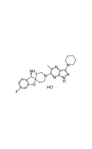 Cc1nc2c(N3CCCCC3)n[nH]c2nc1N1CCC2(CC1)Oc1cc(F)ccc1[C@H]2N.Cl